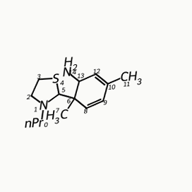 CCCN1CCSC1C1(C)C=CC(C)=CC1N